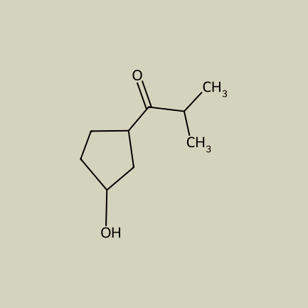 CC(C)C(=O)C1CCC(O)C1